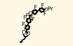 C=CCCC1COC(c2ccc(-c3cc(F)c(C(F)(F)Oc4ccc(-c5cc(F)c(CCC)c(F)c5)c(F)c4)c(F)c3)c(F)c2)OC1